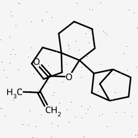 C=C(C)C(=O)OC1(C2CC3CCC2C3)CCCCC12CCCC2